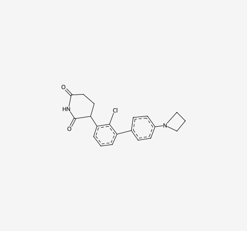 O=C1CCC(c2cccc(-c3ccc(N4CCC4)cc3)c2Cl)C(=O)N1